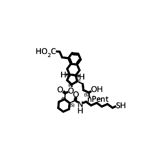 CCCCC[C@H](O)CC[C@@H]1[C@H]2Cc3cccc(CCC(=O)O)c3C[C@H]2C[C@H]1OC(=O)[C@@H]1CCCC[C@@H]1C(=O)NCCCCCCS